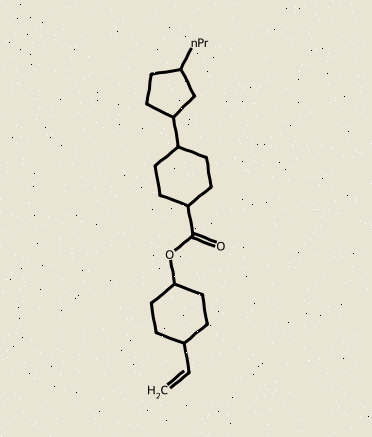 C=CC1CCC(OC(=O)C2CCC(C3CCC(CCC)C3)CC2)CC1